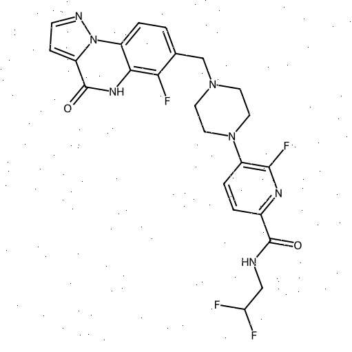 O=C(NCC(F)F)c1ccc(N2CCN(Cc3ccc4c([nH]c(=O)c5ccnn54)c3F)CC2)c(F)n1